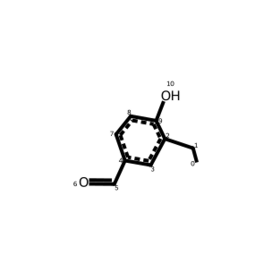 CCc1cc(C=O)ccc1O